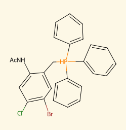 CC(=O)Nc1cc(Cl)c(Br)cc1C[PH](c1ccccc1)(c1ccccc1)c1ccccc1